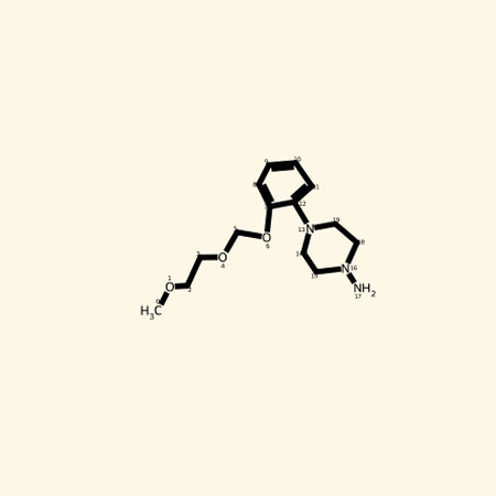 COCCOCOc1ccccc1N1CCN(N)CC1